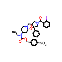 C=CCN(C(=O)OCc1ccc([N+](=O)[O-])cc1)C1CCN(CC2CN(C(=O)c3ccccc3I)CC2(O)c2ccccc2)CC1